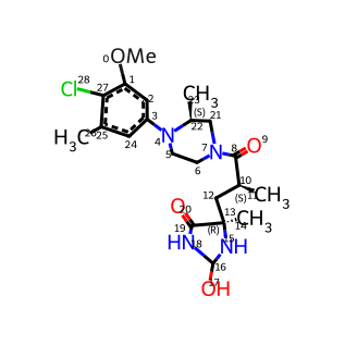 COc1cc(N2CCN(C(=O)[C@@H](C)C[C@@]3(C)NC(O)NC3=O)C[C@@H]2C)cc(C)c1Cl